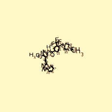 COc1nnc(NC(=O)c2ccc(CN3CCN(C)CC3)c(C(F)(F)F)c2)cc1C#Cc1nnc2ccccn12